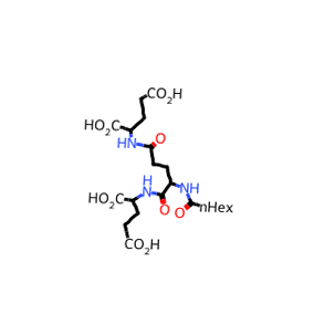 CCCCCCC(=O)NC(CCC(=O)NC(CCC(=O)O)C(=O)O)C(=O)NC(CCC(=O)O)C(=O)O